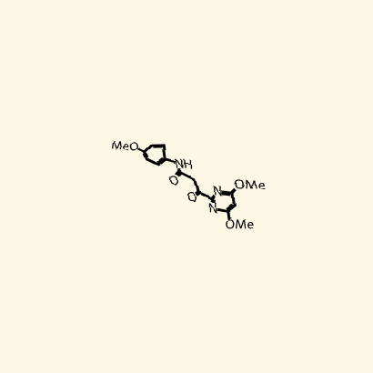 COc1ccc(NC(=O)CC(=O)c2nc(OC)cc(OC)n2)cc1